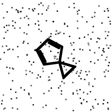 [C]1=CC2(C=C1)CC2